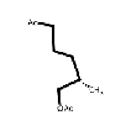 CC(=O)CCC[C@H](C)COC(C)=O